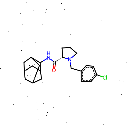 O=C(NC1C2CC3CC(C2)CC1C3)[C@@H]1CCCN1Cc1ccc(Cl)cc1